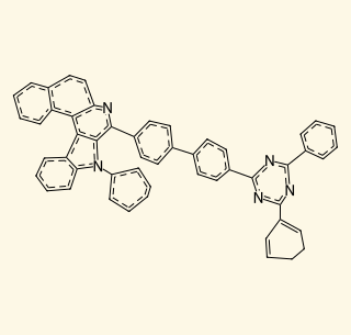 C1=CC(c2nc(-c3ccccc3)nc(-c3ccc(-c4ccc(-c5nc6ccc7ccccc7c6c6c7ccccc7n(-c7ccccc7)c56)cc4)cc3)n2)=CCC1